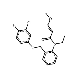 CCN(C(=O)C=NOC)c1ccccc1COc1ccc(F)c(Cl)c1